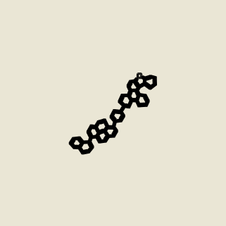 c1ccc2c(-c3ccc4ccc5c(-c6ccc(-c7ccc8c(c7)c7ccccc7c7c8ccc8oc9ccccc9c87)cc6)ccc6ccc3c4c65)cccc2c1